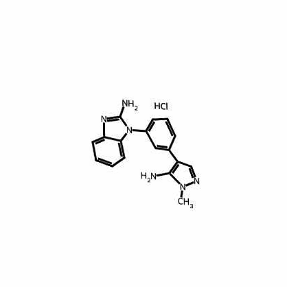 Cl.Cn1ncc(-c2cccc(-n3c(N)nc4ccccc43)c2)c1N